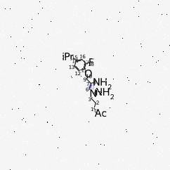 CC(=O)CCCN(N)/C=C(\N)COc1ccc(C(C)C)cc1F